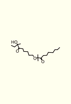 CCCCCCCC(=O)C(C)(C)OCCCCCC(=O)C(C)(O)CC